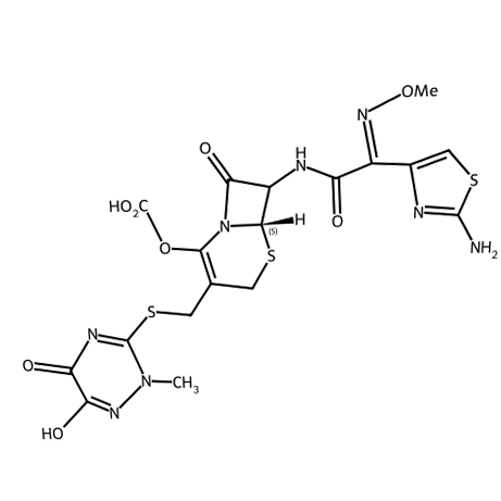 CON=C(C(=O)NC1C(=O)N2C(OC(=O)O)=C(CSc3nc(=O)c(O)nn3C)CS[C@@H]12)c1csc(N)n1